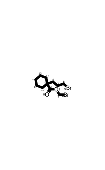 O=C(OCBr)C1(CCCBr)CCCCC1